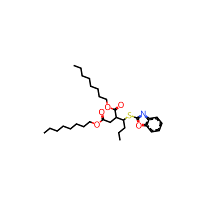 CCCCCCCCOC(=O)CC(C(=O)OCCCCCCCC)C(CCC)Sc1nc2ccccc2o1